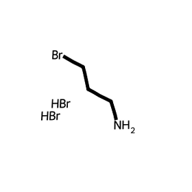 Br.Br.NCCCBr